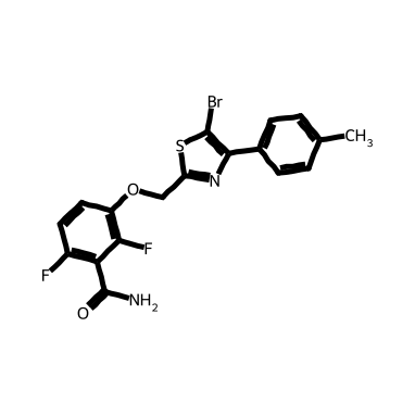 Cc1ccc(-c2nc(COc3ccc(F)c(C(N)=O)c3F)sc2Br)cc1